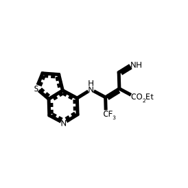 CCOC(=O)/C(C=N)=C(/Nc1cncc2sccc12)C(F)(F)F